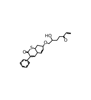 C=CC(=O)CCC(O)COC1C=CC2C=C(c3ccccc3)C(=O)SC2C1